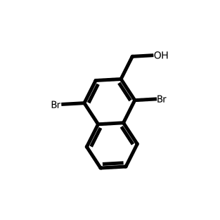 OCc1cc(Br)c2ccccc2c1Br